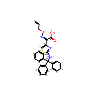 C=CCO/N=C(\C(=O)O)c1csc(NC(c2ccccc2)(c2ccccc2)c2ccccc2)n1